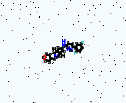 Fc1ccc(F)c(-c2ccc(N[C@H]3C[C@@H]4CN(CC5CCOCC5)C[C@@H]4C3)nn2)c1